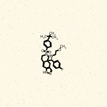 COCCN[C@@H](c1ccc(F)cc1)C12Cc3cn[nH]c3C=C1CCN(S(=O)(=O)c1ccc(C(C)(C)C)cc1)C2